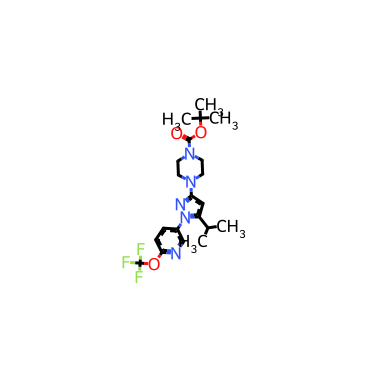 CC(C)c1cc(N2CCN(C(=O)OC(C)(C)C)CC2)nn1-c1ccc(OC(F)(F)F)nc1